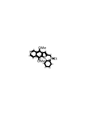 CCN(Cc1cc2c(OC)c3cnccc3c(OC)c2s1)C1CCCCC1